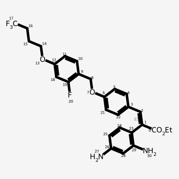 CCOC(=O)/C(=C/c1ccc(OCc2ccc(OCCCC(F)(F)F)cc2F)cc1)c1ccc(N)cc1N